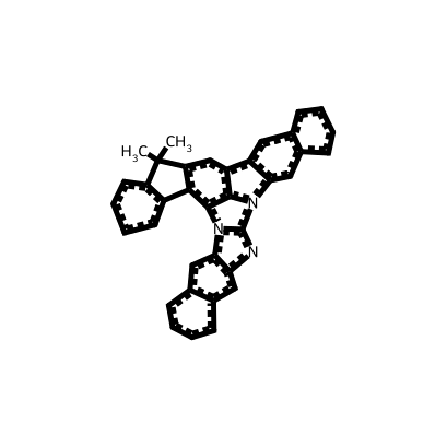 CC1(C)c2ccccc2-c2c1cc1c3cc4ccccc4cc3n3c1c2n1c2cc4ccccc4cc2nc13